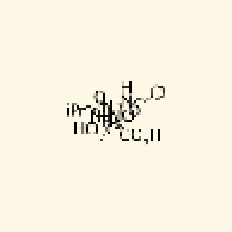 CC(C)C[C@H](N)C(=O)NC[C@H](NC(=O)CCc1ccccc1)C(=O)N[C@@H](CC(=O)O)C(=O)O